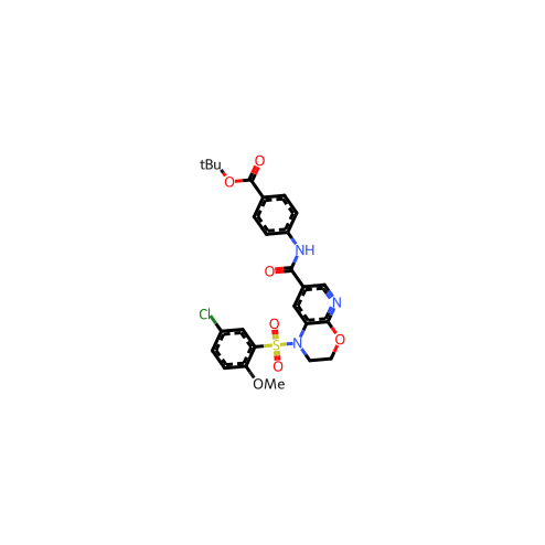 COc1ccc(Cl)cc1S(=O)(=O)N1CCOc2ncc(C(=O)Nc3ccc(C(=O)OC(C)(C)C)cc3)cc21